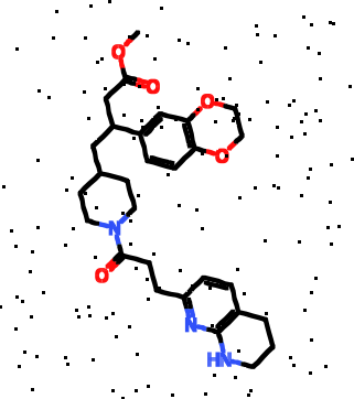 COC(=O)CC(CC1CCN(C(=O)CCc2ccc3c(n2)NCCC3)CC1)c1ccc2c(c1)OCCO2